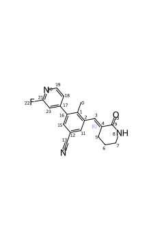 Cc1c(/C=C2\CCCNC2=O)cc(C#N)cc1-c1ccnc(F)c1